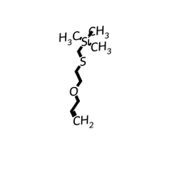 C=CCOCCSC[Si](C)(C)C